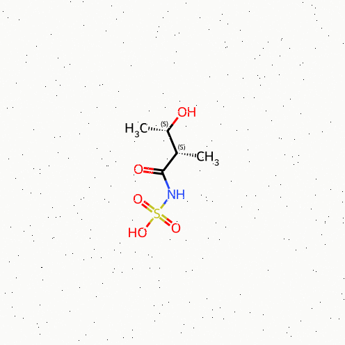 C[C@H](O)[C@H](C)C(=O)NS(=O)(=O)O